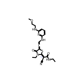 CCNC(=O)/C(C#N)=c1\sc(=C=CNc2cccc(NCCOC)n2)c(=O)n1CC